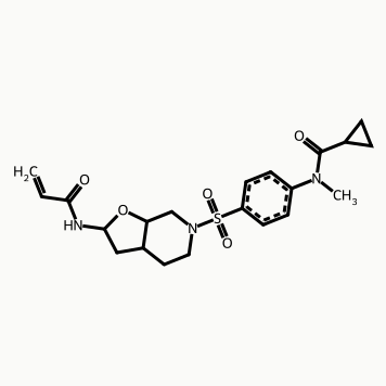 C=CC(=O)NC1CC2CCN(S(=O)(=O)c3ccc(N(C)C(=O)C4CC4)cc3)CC2O1